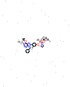 CC(C)(C)OC(=O)N1CC[C@@H]1COc1ccc(-c2nc3c(OC4(C)CC4)ncnc3n2Cc2ccccc2)c(Cl)c1